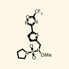 CON(Cc1ccc(-c2noc(C(F)(F)F)n2)s1)S(=O)(=O)N1CCCC1